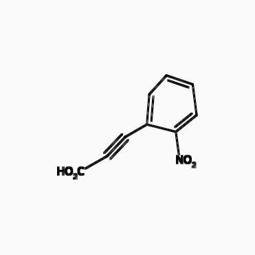 O=C(O)C#Cc1ccccc1[N+](=O)[O-]